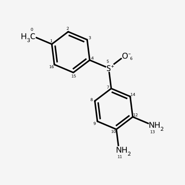 Cc1ccc([S+]([O-])c2ccc(N)c(N)c2)cc1